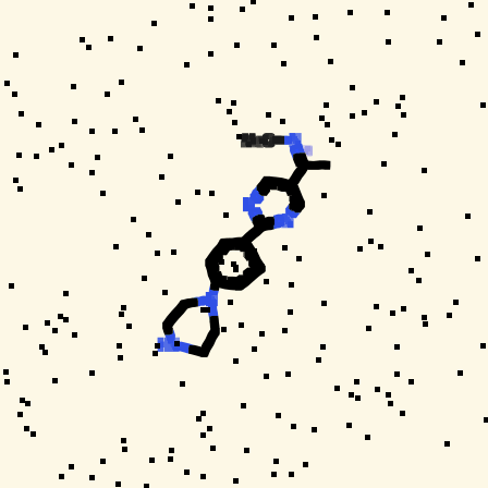 CO/N=C(/C)c1cnc(-c2ccc(N3CCNCC3)cc2)nc1